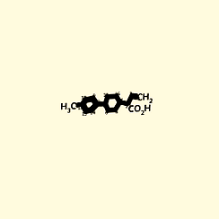 C=CC(C(=O)O)C1CCC(c2ccc(C)cc2)CC1